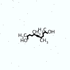 CC(C#CC(C)CCC(C)CO)CCC(C)CO